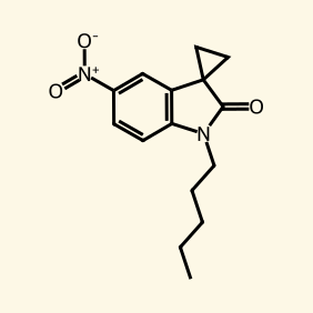 CCCCCN1C(=O)C2(CC2)c2cc([N+](=O)[O-])ccc21